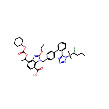 CCCC(F)[Si](C)(C)n1nnnc1-c1ccccc1-c1ccc(Cn2c(OCC)nc3c(C(C)OC(=O)OC4CCCCC4)ccc(C(=O)O)c32)cc1